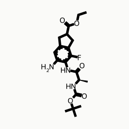 CCOC(=O)C1Cc2cc(N)c(NC(=O)[C@@H](C)NC(=O)OC(C)(C)C)c(F)c2C1